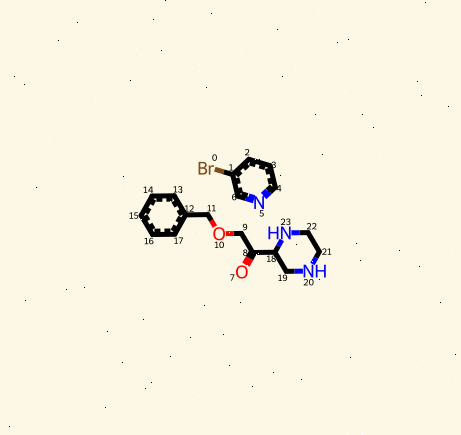 Brc1cccnc1.O=C(COCc1ccccc1)C1CNCCN1